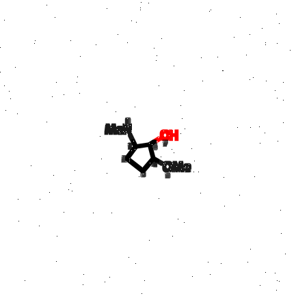 CNC1CCC(OC)C1O